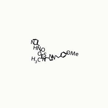 COc1ccc(CCn2ccc(-c3nc(C)c(OC(=O)NCc4cccnc4)s3)n2)cc1